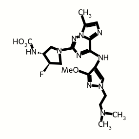 COc1nn(CCN(C)C)cc1Nc1nc(N2C[C@@H](F)[C@H](NC(=O)O)C2)nn2c(C)cnc12